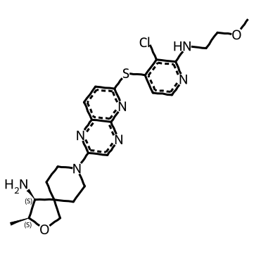 COCCNc1nccc(Sc2ccc3nc(N4CCC5(CC4)CO[C@@H](C)[C@H]5N)cnc3n2)c1Cl